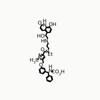 CCN(CCCNC[C@H](O)c1ccc(O)c2[nH]c(=O)ccc12)C(=O)c1cc(COc2cccc([C@@H](NC(=O)O)c3ccccc3)c2)n(C)n1